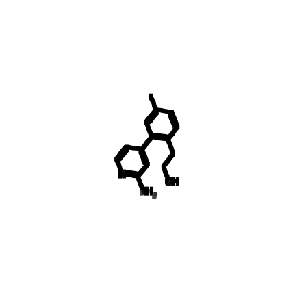 Cc1ccc(CCO)c(-c2ccnc(N)c2)c1